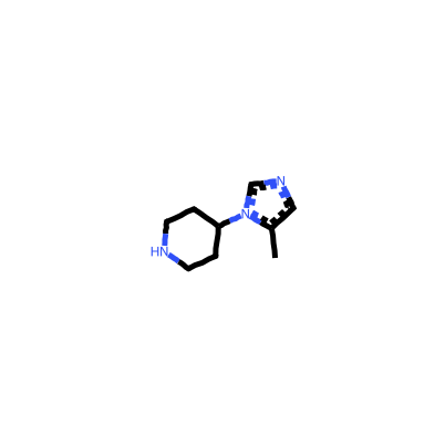 Cc1cncn1C1CCNCC1